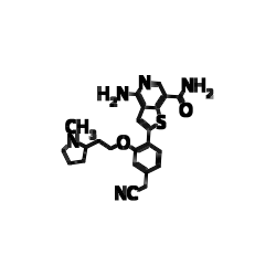 CN1CCCC1CCOc1cc(CC#N)ccc1-c1cc2c(N)ncc(C(N)=O)c2s1